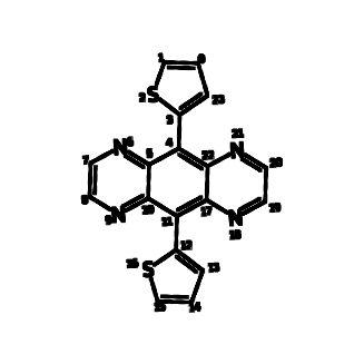 c1csc(-c2c3nccnc3c(-c3cccs3)c3nccnc23)c1